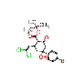 CC(C)(C)OC(=O)C1C(=O)CC(O)(c2ccc(Br)cc2)CC1C=C(Cl)Cl